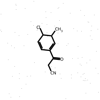 CC1C=C(C(=O)CC#N)C=CC1Cl